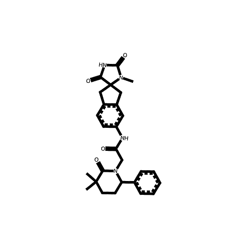 CN1C(=O)NC(=O)C12Cc1ccc(NC(=O)CN3C(=O)C(C)(C)CCC3c3ccccc3)cc1C2